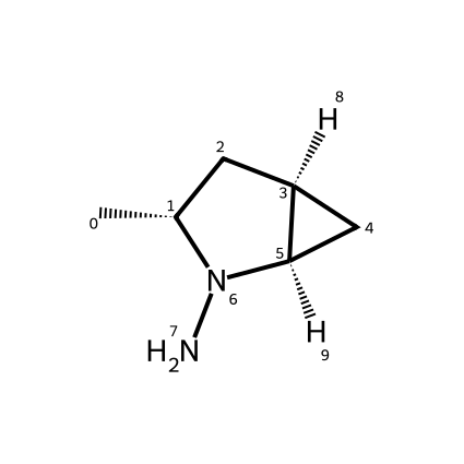 C[C@@H]1C[C@H]2C[C@H]2N1N